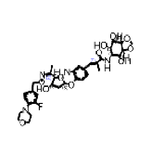 C/C(=N/OCc1ccc(N2CCOCC2)c(F)c1)[C@H]1O[C@@H](Oc2ccc(/C=C(\C)C(=O)N[C@@H]3[C@H](O)[C@@H](O)[C@H]4OCO[C@H]4[C@@H]3O)cc2N)C[C@@H]1O